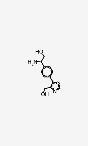 N[C@@H](CO)c1ccc(-c2scnc2CO)cc1